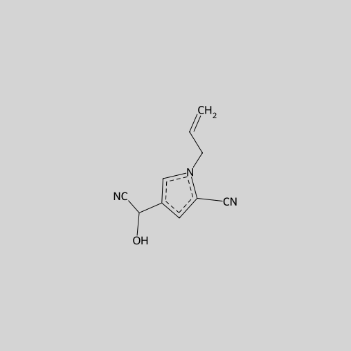 C=CCn1cc(C(O)C#N)cc1C#N